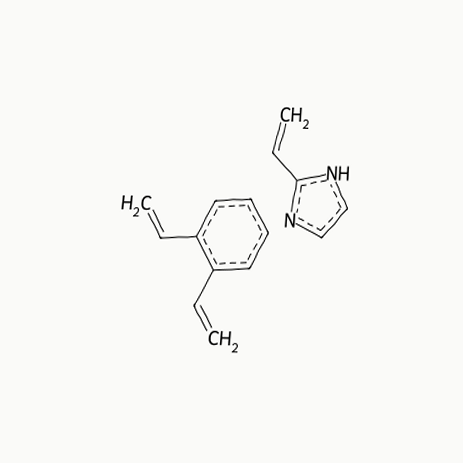 C=Cc1ccccc1C=C.C=Cc1ncc[nH]1